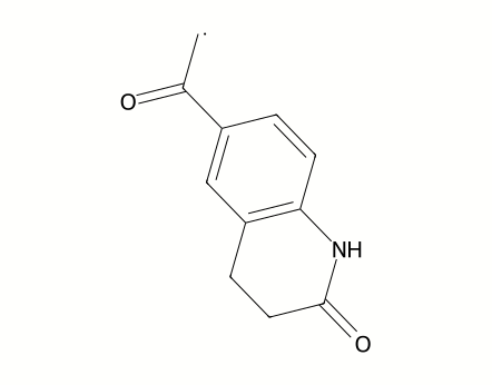 [CH2]C(=O)c1ccc2c(c1)CCC(=O)N2